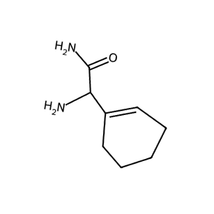 NC(=O)C(N)C1=CCCCC1